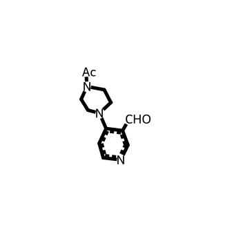 CC(=O)N1CCN(c2ccncc2C=O)CC1